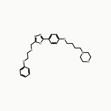 c1ccc(OCCSCc2nnc(-c3ccc(OCCCCN4CCOCC4)cc3)o2)cc1